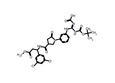 COC(=O)CC(NC(=O)C1CC(=O)N(c2cccc(N/C(=N\C(=O)O)NC(=O)OC(C)(C)C)c2)C1)c1cc(Cl)cc(Cl)c1